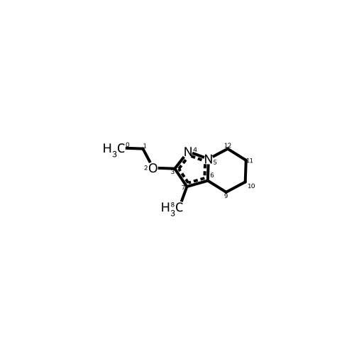 CCOc1nn2c(c1C)CCCC2